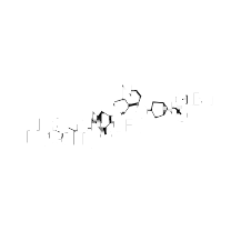 CC(C)(C)OC(=O)N1CCC(Oc2ccnc3c2CN(c2cnn(COCC[Si](C)(C)C)c(=O)c2C(F)(F)F)C3)CC1